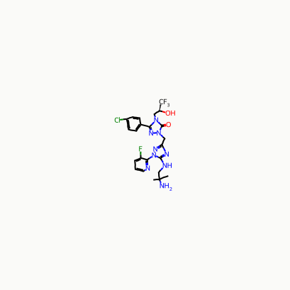 CC(C)(N)CNc1nc(Cn2nc(-c3ccc(Cl)cc3)n(C[C@H](O)C(F)(F)F)c2=O)nn1-c1ncccc1F